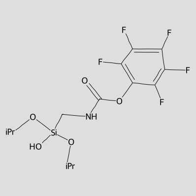 CC(C)O[Si](O)(CNC(=O)Oc1c(F)c(F)c(F)c(F)c1F)OC(C)C